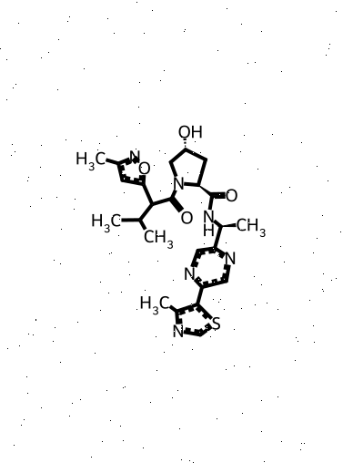 Cc1cc(C(C(=O)N2C[C@H](O)C[C@H]2C(=O)N[C@@H](C)c2cnc(-c3scnc3C)cn2)C(C)C)on1